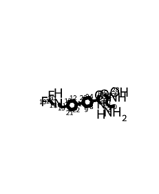 C=C(N)[C@H](NC(=O)c1ccc(-c2ccc(CNCC(F)F)cc2)cc1)C(=O)NO